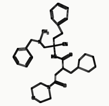 CN(Cc1ccccc1)CC(C#N)(CCc1ccccc1)NC(=O)C(CC(=O)N1CCOCC1)CC1CCCCC1